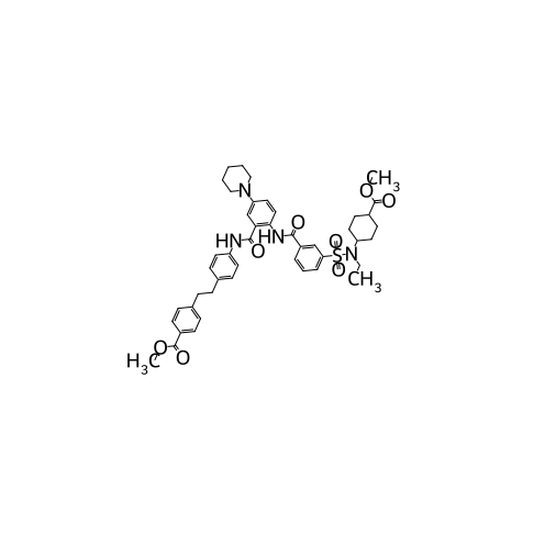 CCN(C1CCC(C(=O)OC)CC1)S(=O)(=O)c1cccc(C(=O)Nc2ccc(N3CCCCC3)cc2C(=O)Nc2ccc(CCc3ccc(C(=O)OC)cc3)cc2)c1